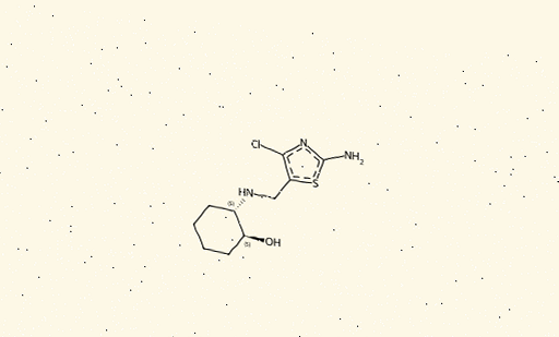 Nc1nc(Cl)c(CN[C@H]2CCCC[C@@H]2O)s1